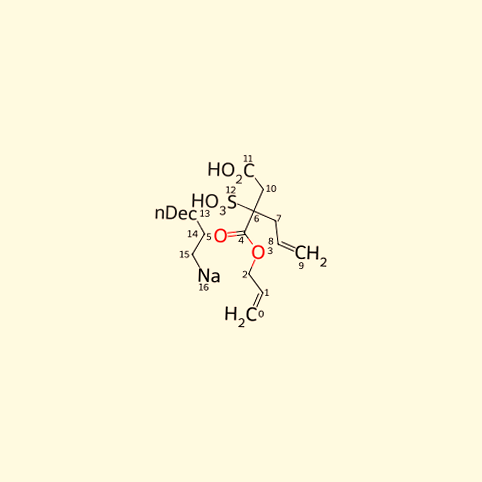 C=CCOC(=O)C(CC=C)(CC(=O)O)S(=O)(=O)O.CCCCCCCCCCC[CH2][Na]